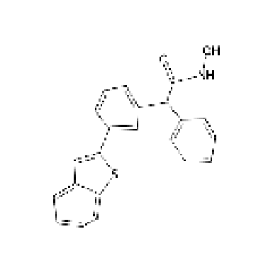 O=C(NO)C(c1ccccc1)c1cccc(-c2cc3ccccc3s2)c1